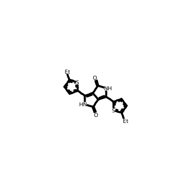 CCc1ccc(C2=C3C(=O)NC(c4ccc(CC)s4)=C3C(=O)N2)s1